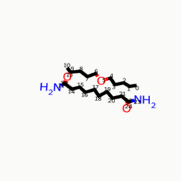 CCCCCOCCCCC.NC(=O)CCCCCCCCC(N)=O